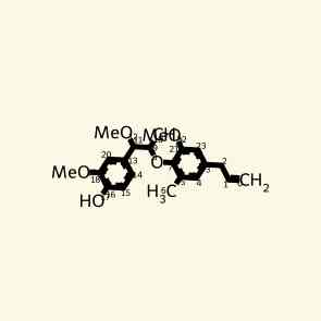 C=CCc1cc(C)c(OC(C)C(OC)c2ccc(O)c(OC)c2)c(OC)c1